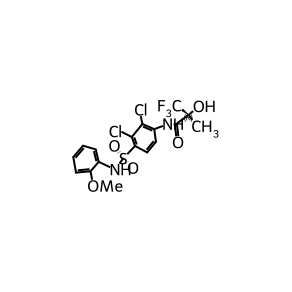 COc1ccccc1NS(=O)(=O)c1ccc(NC(=O)[C@@](C)(O)C(F)(F)F)c(Cl)c1Cl